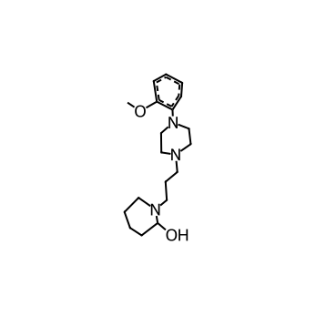 COc1ccccc1N1CCN(CCCN2CCCCC2O)CC1